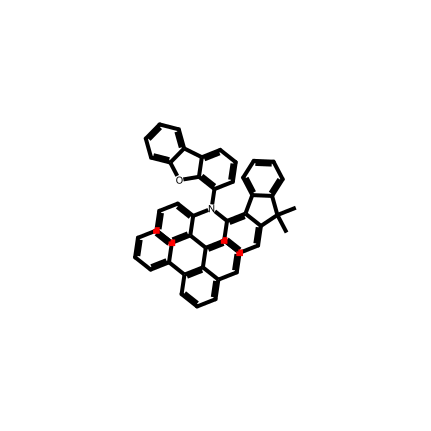 CC1(C)c2ccccc2-c2c(N(c3ccccc3-c3cccc4cccc(-c5ccccc5)c34)c3cccc4c3oc3ccccc34)cccc21